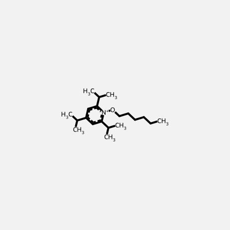 CCCCCCO[n+]1c(C(C)C)cc(C(C)C)cc1C(C)C